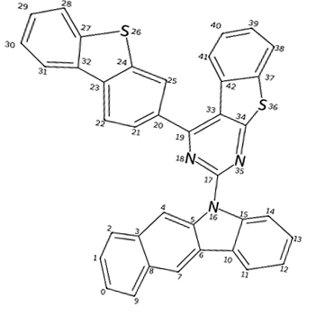 c1ccc2cc3c(cc2c1)c1ccccc1n3-c1nc(-c2ccc3c(c2)sc2ccccc23)c2c(n1)sc1ccccc12